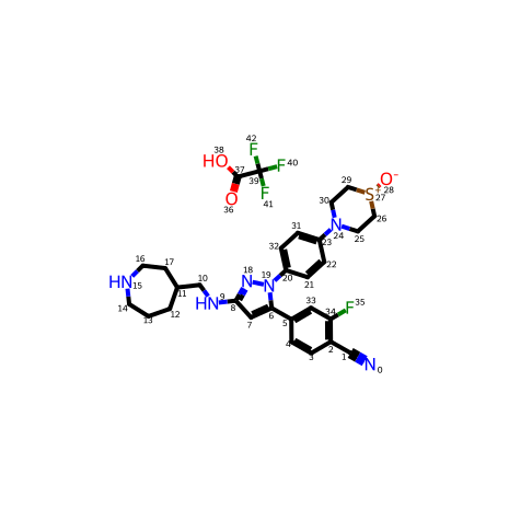 N#Cc1ccc(-c2cc(NCC3CCCNCC3)nn2-c2ccc(N3CC[S+]([O-])CC3)cc2)cc1F.O=C(O)C(F)(F)F